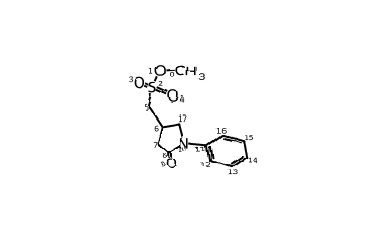 COS(=O)(=O)CC1CC(=O)N(c2ccccc2)C1